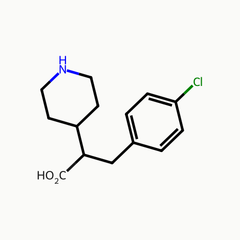 O=C(O)C(Cc1ccc(Cl)cc1)C1CCNCC1